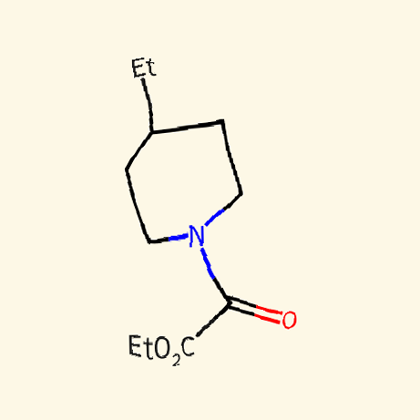 CCOC(=O)C(=O)N1CCC(CC)CC1